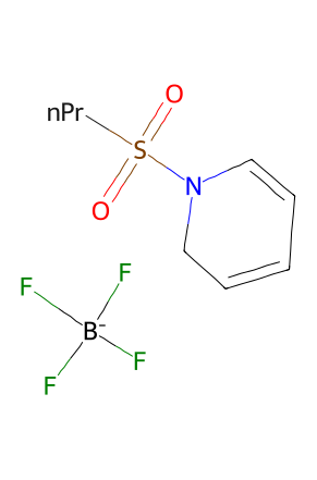 CCCS(=O)(=O)N1C=CC=CC1.F[B-](F)(F)F